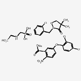 CC1(C)CON(Cc2ccccc2Cl)C1=O.COC(=O)c1cc(Oc2ccc(Cl)cc2Cl)ccc1[N+](=O)[O-].O=C(O)CNCP(=O)(O)O